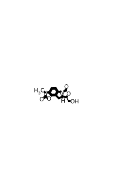 Cn1c(=O)oc2c3c(ccc21)N1C(=O)O[C@@H](CO)[C@@H]1C3